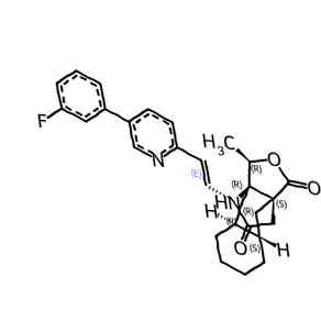 C[C@H]1OC(=O)[C@@]23CC(=O)N[C@@]12[C@@H](/C=C/c1ccc(-c2cccc(F)c2)cn1)[C@@H]1CCCC[C@H]1C3